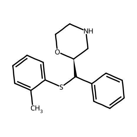 Cc1ccccc1SC(c1ccccc1)[C@@H]1CNCCO1